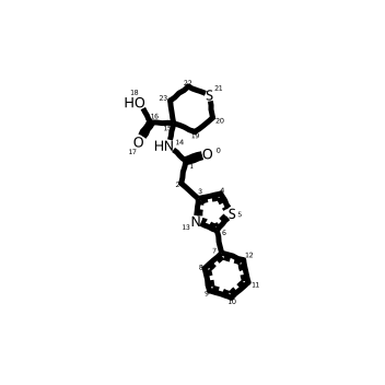 O=C(Cc1csc(-c2ccccc2)n1)NC1(C(=O)O)CCSCC1